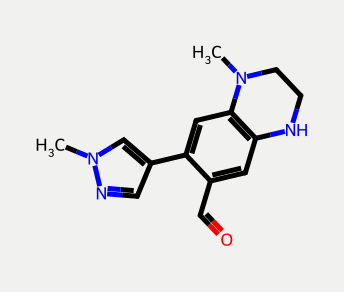 CN1CCNc2cc(C=O)c(-c3cnn(C)c3)cc21